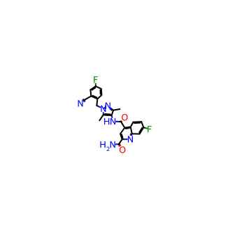 Cc1nn(Cc2ccc(F)cc2C#N)c(C)c1NC(=O)c1cc(C(N)=O)nc2cc(F)ccc12